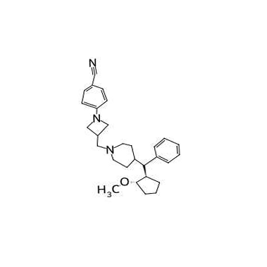 CO[C@H]1CCC[C@@H]1C(c1ccccc1)C1CCN(CC2CN(c3ccc(C#N)cc3)C2)CC1